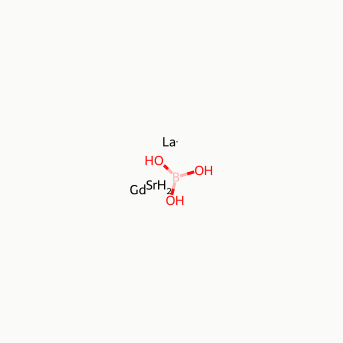 OB(O)O.[Gd].[La].[SrH2]